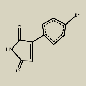 O=C1C=C(c2ccc(Br)cc2)C(=O)N1